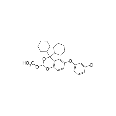 O=C(O)OC1Oc2ccc(Oc3cccc(Cl)c3)cc2C(C2CCCCC2)(C2CCCCC2)O1